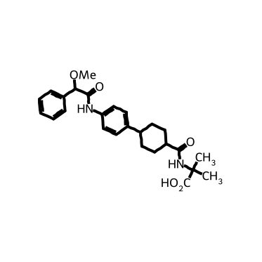 COC(C(=O)Nc1ccc(C2CCC(C(=O)NC(C)(C)C(=O)O)CC2)cc1)c1ccccc1